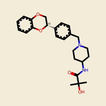 CC(C)(O)C(=O)NC1CCN(Cc2ccc([C@H]3COc4ccccc4O3)cc2)CC1